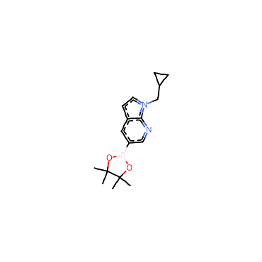 CC1(C)OB(c2cnc3c(ccn3CC3CC3)c2)OC1(C)C